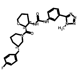 Cn1nnnc1-c1cccc(NC(=O)N[C@@H]2CCCO[C@@H]2C(=O)N2CCC[C@@H](Cc3ccc(F)cc3)C2)c1